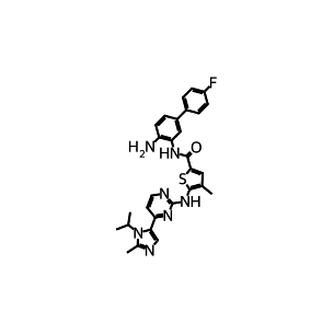 Cc1cc(C(=O)Nc2cc(-c3ccc(F)cc3)ccc2N)sc1Nc1nccc(-c2cnc(C)n2C(C)C)n1